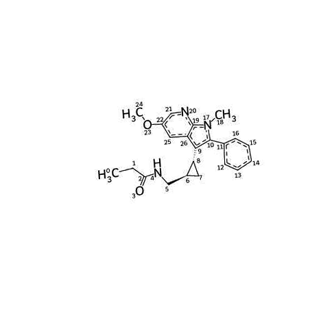 CCC(=O)NC[C@@H]1C[C@H]1c1c(-c2ccccc2)n(C)c2ncc(OC)cc12